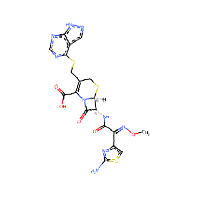 CON=C(C(=O)N[C@@H]1C(=O)N2C(C(=O)O)=C(CSc3ncnc4[nH]ncc34)CS[C@@H]12)c1csc(N)n1